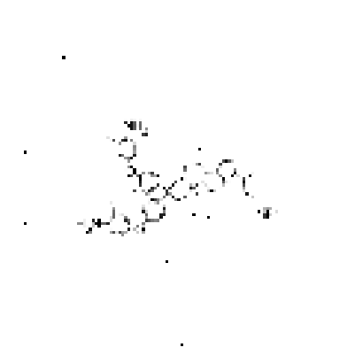 Cc1cc(Oc2ccc(C3(c4ccc(Oc5ccc(N)c(C)c5)c(C)c4)CCC4(C)C(CCC5C4CCC4(C)C(C(C)CCCC(C)C)CCC54)C3)cc2)ccc1N